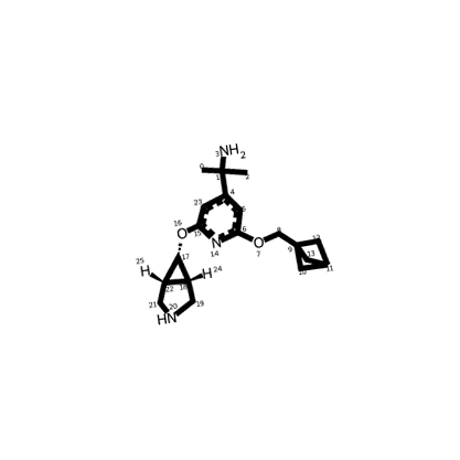 CC(C)(N)c1cc(OCC23CC(C2)C3)nc(O[C@@H]2[C@@H]3CNC[C@@H]32)c1